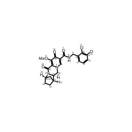 COc1c2n(cc(C(=O)NCc3cccc(Cl)c3Cl)c1=O)C[C@H]1[C@@H]3CC[C@@H](C3)N1C2=O